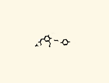 C=CCc1cc(/C=C2\CNC(=S)S2)cc(OC)c1OCCOc1ccc(C)cc1